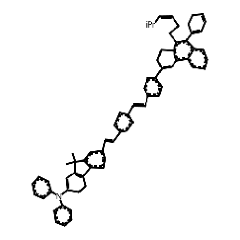 CC(C)/C=C\CCc1c2c(c3ccccc3c1C1=CC=CCC1)C=C(c1ccc(/C=C/c3ccc(/C=C/c4ccc5c(c4)C(C)(C)C4=C5CCC(N(c5ccccc5)c5ccccc5)=C4)cc3)cc1)CC2